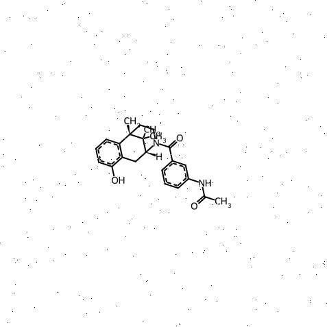 CC(=O)Nc1cccc(C(=O)N2CC[C@@]3(C)c4cccc(O)c4C[C@@H]2C3(C)C)c1